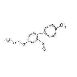 COCOc1ccc(-c2ccc(C)cc2)c(C=O)c1